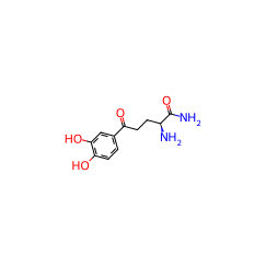 NC(=O)[C@@H](N)CCC(=O)c1ccc(O)c(O)c1